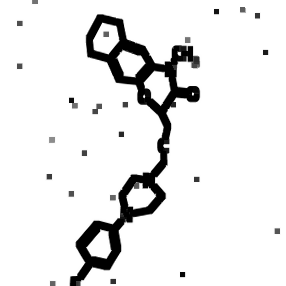 CN1C(=O)C(CCCN2CCN(c3ccc(F)cc3)CC2)Oc2cc3c(cc21)CCCC3